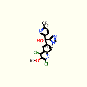 CCOc1c(Cl)nc2ccc([C@@](O)(c3ccc(C(F)(F)F)nc3)c3cncn3C)cc2c1Cl